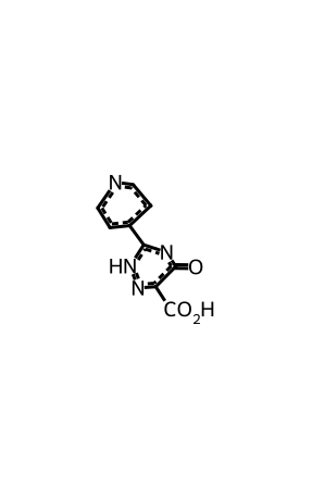 O=C(O)c1n[nH]c(-c2ccncc2)nc1=O